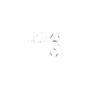 c1ccc(Oc2cncc(C3CCC4CNCC(C4)C3)c2)cc1